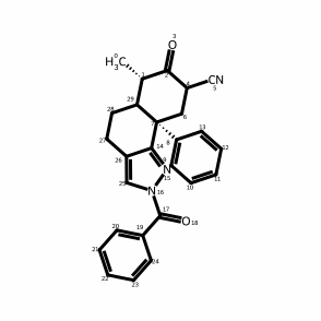 C[C@@H]1C(=O)C(C#N)C[C@@]2(c3ccccc3)c3nn(C(=O)c4ccccc4)cc3CCC12